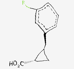 O=C(O)[C@H]1C[C@@H]1c1cccc(F)c1